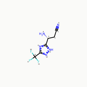 N#CC[C@@H](N)c1nc(C(F)(F)F)n[nH]1